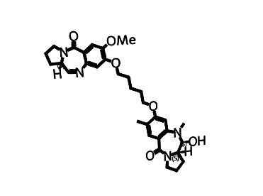 COc1cc2c(cc1OCCCCCOc1cc3c(cc1C)C(=O)N1CCC[C@H]1[C@H](O)N3C)N=C[C@@H]1CCCN1C2=O